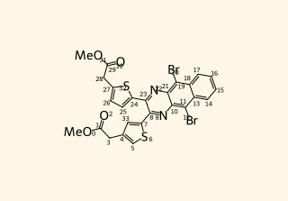 COC(=O)Cc1csc(-c2nc3c(Br)c4ccccc4c(Br)c3nc2-c2ccc(CC(=O)OC)s2)c1